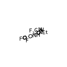 CCc1nnc2c(C(F)(F)F)c(CN[C@H]3CC[C@@H](c4ccc(F)cc4F)CC3)ccn12